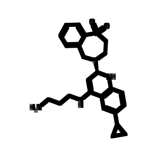 NCCCNC1=C[C@@H](N2CCS(=O)(=O)c3ccccc3C2)Nc2ccc(C3CC3)cc21